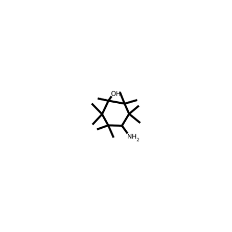 CC1(C)C(N)C(C)(C)C(C)(C)C(C)(O)C1(C)C